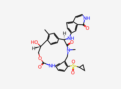 Cc1cc2ccc1[C@@H](O)COC(=O)Nc1ccc(S(=O)(=O)C3CC3)c(c1)CN(C)C(=O)[C@@H]2Nc1ccc2cc[nH]c(=O)c2c1